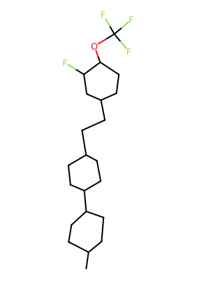 CC1CCC(C2CCC(CCC3CCC(OC(F)(F)F)C(F)C3)CC2)CC1